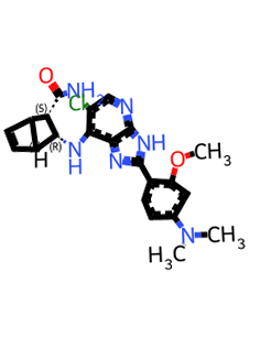 COc1cc(N(C)C)ccc1-c1nc2c(N[C@@H]3[C@H]4C=CC4[C@@H]3C(N)=O)c(Cl)cnc2[nH]1